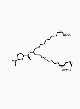 C=C(OC(CCCCCCCC/C=C\C/C=C\CCCCC)CCCCCCCC/C=C\CCCCCCCC)C1CCC(N(C)C)C1